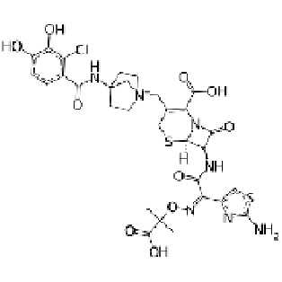 CC(C)(O/N=C(\C(=O)N[C@@H]1C(=O)N2C(C(=O)O)=C(C[N+]34CCC(NC(=O)c5ccc(O)c(O)c5Cl)(CC3)C4)CS[C@H]12)c1csc(N)n1)C(=O)O